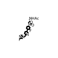 CC(=O)NC[C@H]1CN(c2ccc(-c3ccc(Cn4cc(I)nn4)nc3)c(F)c2)C(=O)O1